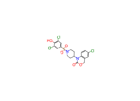 O=C1OCc2cc(Cl)ccc2N1C1CCN(S(=O)(=O)c2cc(Cl)c(O)c(Cl)c2)CC1